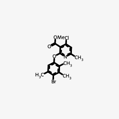 COC(=O)c1c(Cl)cc(C)nc1Oc1cc(C)c(Br)c(C)c1C